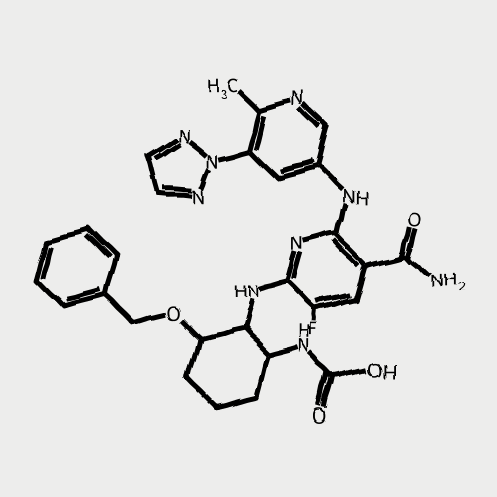 Cc1ncc(Nc2nc(NC3C(NC(=O)O)CCCC3OCc3ccccc3)c(F)cc2C(N)=O)cc1-n1nccn1